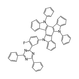 Fc1ccc(-n2c3ccccc3c3c4c(c5ccccc5n4-c4ccccc4)c4c(c5ccccc5n4-c4ccccc4)c32)cc1-c1nc(-c2ccccc2)nc(-c2ccccc2)n1